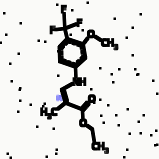 CCOC(=O)/C(C)=C\Nc1ccc(C(F)(F)F)c(OC)c1